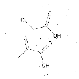 C=C(C)C(=O)O.O=C(O)CCl